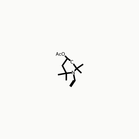 C=CN1C(C)(C)CC(OC(C)=O)CC1(C)C